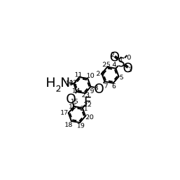 CS(=O)(=O)c1ccc(Oc2ccc(N)c(Oc3ccccc3F)c2)cc1